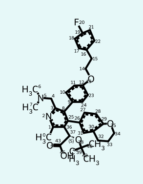 Cc1nc(CN(C)C)c(-c2ccc(OCCc3ccc(F)cc3)cc2)c(-c2ccc3c(c2)CCCO3)c1[C@H](OC(C)(C)C)C(=O)O